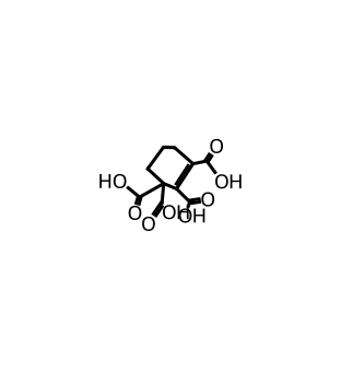 O=C(O)C1=C(C(=O)O)C(C(=O)O)(C(=O)O)CCC1